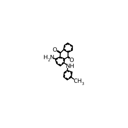 Cc1cccc(Nc2ccc(N)c3c2C(=O)c2ccccc2C3=O)c1